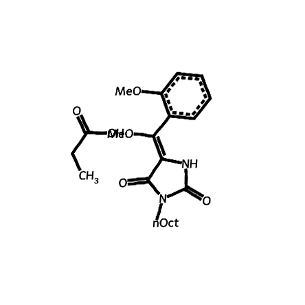 CCC(=O)O.CCCCCCCCN1C(=O)NC(=C(OC)c2ccccc2OC)C1=O